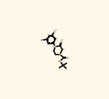 CC(C)(C)OC(=O)N1CCN(c2cc(F)cc(F)c2)C(=O)C1